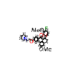 COc1ccc2c(c1)CCC(c1ccc(F)c(OC)c1)=C2C(O)c1ccc(OCCN2CCCCC2)cc1